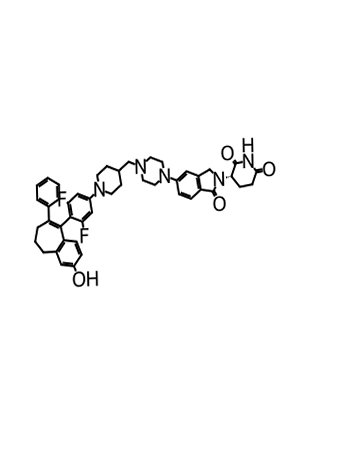 O=C1CC[C@H](N2Cc3cc(N4CCN(CC5CCN(c6cc(F)c(C7=C(c8ccccc8)CCCc8cc(O)ccc87)c(F)c6)CC5)CC4)ccc3C2=O)C(=O)N1